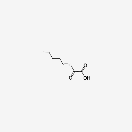 CCCCC=CC(=O)C(=O)O